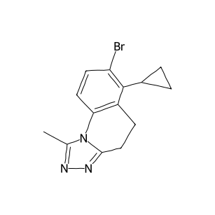 Cc1nnc2n1-c1ccc(Br)c(C3CC3)c1CC2